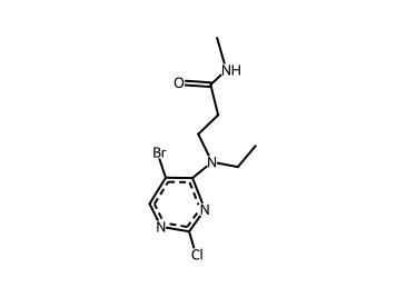 CCN(CCC(=O)NC)c1nc(Cl)ncc1Br